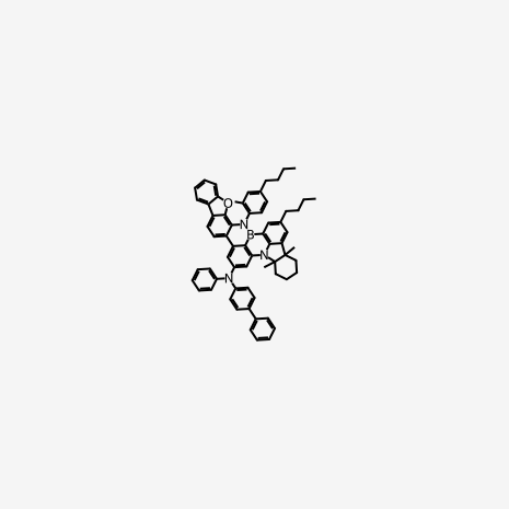 CCCCc1ccc(N2B3c4cc(CCCC)cc5c4N(c4cc(N(c6ccccc6)c6ccc(-c7ccccc7)cc6)cc(c43)-c3ccc4c(oc6ccccc64)c32)C2(C)CCCCC52C)c(C)c1